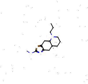 CCCN1CCC[C@@H]2Cc3nc(NC)sc3C[C@H]21.Cl.Cl